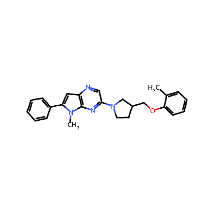 Cc1ccccc1OCC1CCN(c2cnc3cc(-c4ccccc4)n(C)c3n2)C1